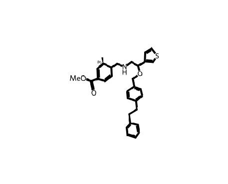 COC(=O)C1=C[C@@H](C)C(CNCC(OCc2ccc(CCc3ccccc3)cc2)c2ccsc2)C=C1